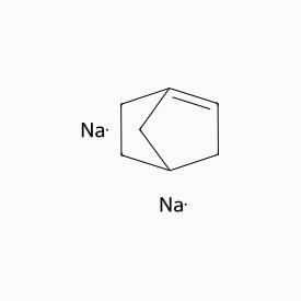 C1=C2CCC(C1)C2.[Na].[Na]